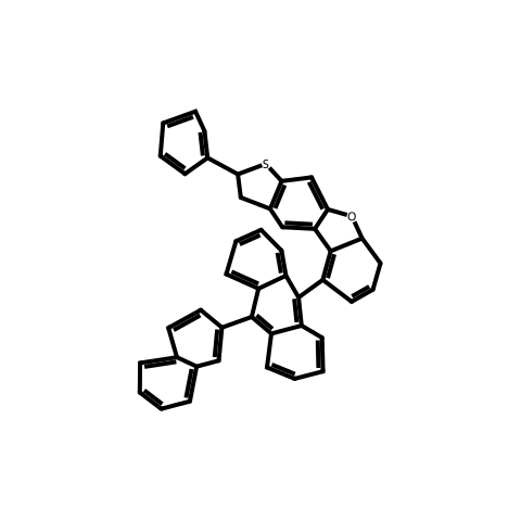 C1=CC(c2c3ccccc3c(-c3ccc4ccccc4c3)c3ccccc23)=C2c3cc4c(cc3OC2C1)SC(c1ccccc1)C4